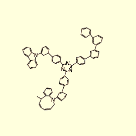 CC1/C=C\C=C/CN(c2cccc(-c3ccc(-c4nc(-c5ccc(-c6cccc(-c7cccc(-c8ccccc8)c7)c6)cc5)nc(-c5ccc(C6C=CC=C(n7c8ccccc8c8ccccc87)C6)cc5)n4)cc3)c2)c2ccccc21